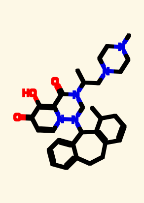 CC1CC=CC2=C1C(N1CN(C(C)CN3CCN(C)CC3)C(=O)c3c(O)c(=O)ccn31)c1ccccc1CC2